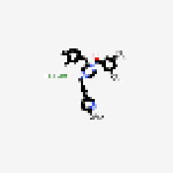 COc1ccc(C#CCN2CCN(C(=O)c3cc(C(F)(F)F)cc(C(F)(F)F)c3)[C@H](Cc3ccc(C)c(C)c3)C2)cn1.Cl.Cl